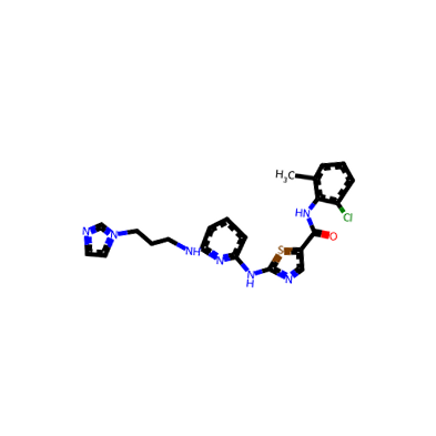 Cc1cccc(Cl)c1NC(=O)c1cnc(Nc2cccc(NCCCn3ccnc3)n2)s1